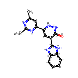 CNc1nc(C)cc(-c2cc(-c3nc4ccccc4[nH]3)c(=O)[nH]n2)n1